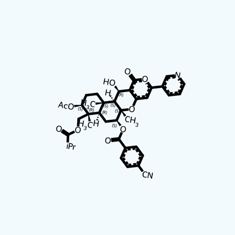 CC(=O)O[C@H]1CC[C@@]2(C)[C@@H](C[C@H](OC(=O)c3ccc(C#N)cc3)[C@@]3(C)Oc4cc(-c5cccnc5)oc(=O)c4[C@H](O)[C@H]23)[C@]1(C)COC(=O)C(C)C